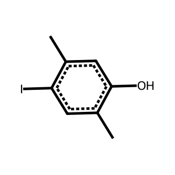 Cc1cc(I)c(C)cc1O